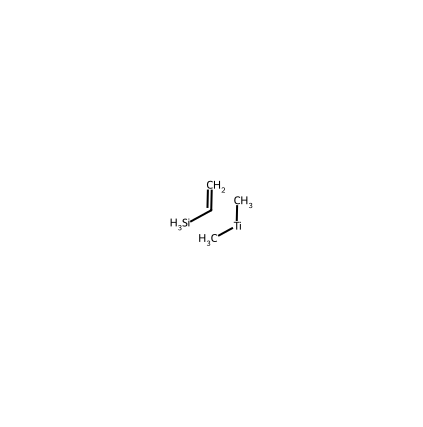 C=C[SiH3].[CH3][Ti][CH3]